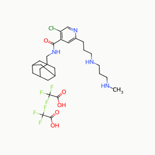 CNCCCNCCCc1cc(C(=O)NCC23CC4CC(CC(C4)C2)C3)c(Cl)cn1.O=C(O)C(F)(F)F.O=C(O)C(F)(F)F